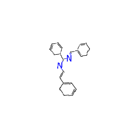 C1=CCCC(/C=C/N=C(\N=C\C2=CCCC=C2)C2C=CC=CC2)=C1